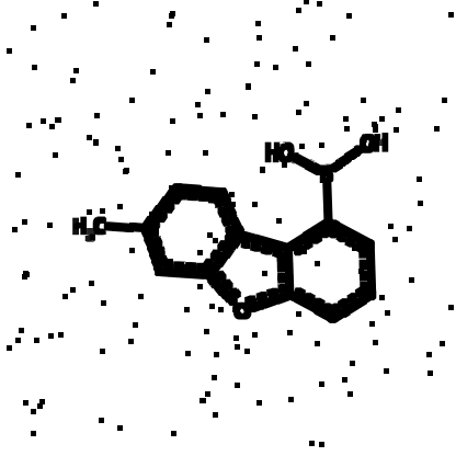 Cc1ccc2c(c1)oc1cccc(B(O)O)c12